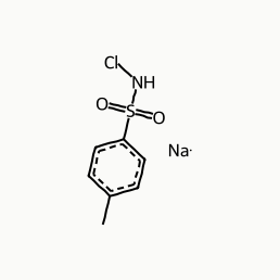 Cc1ccc(S(=O)(=O)NCl)cc1.[Na]